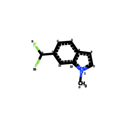 Cn1ccc2ccc(C(F)F)cc21